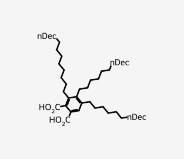 CCCCCCCCCCCCCCCCCCc1c(CCCCCCCCCCCCCCCC)c(CCCCCCCCCCCCCCCC)cc(C(=O)O)c1C(=O)O